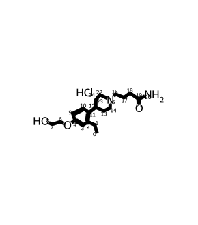 CCc1cc(OCCO)ccc1C1CCN(CCCC(N)=O)CC1.Cl